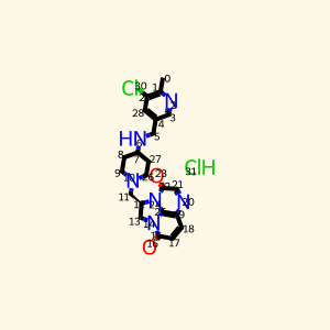 Cc1ncc(CNC2CCN(C[C@@H]3Cn4c(=O)ccc5ncc(=O)n3c54)CC2)cc1Cl.Cl